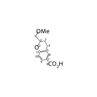 COCC1CCc2cc(C(=O)O)ccc2O1